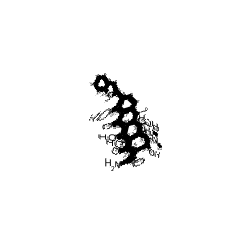 C[C@H]1c2ccc(-c3cc4ccccc4s3)c(O)c2C(=O)C2=C(O)[C@]3(O)C(=O)C(C(N)=O)C(O)[C@@H](N(C)C)[C@@H]3[C@@H](O)[C@@H]21